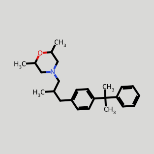 CC(Cc1ccc(C(C)(C)c2ccccc2)cc1)CN1CC(C)OC(C)C1